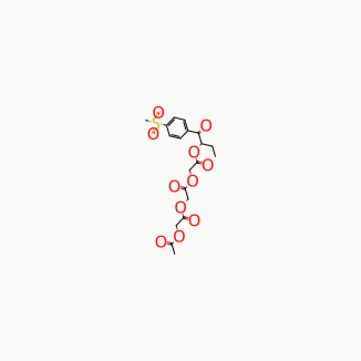 CCC(OC(=O)COC(=O)COC(=O)COC(C)=O)C(=O)c1ccc(S(C)(=O)=O)cc1